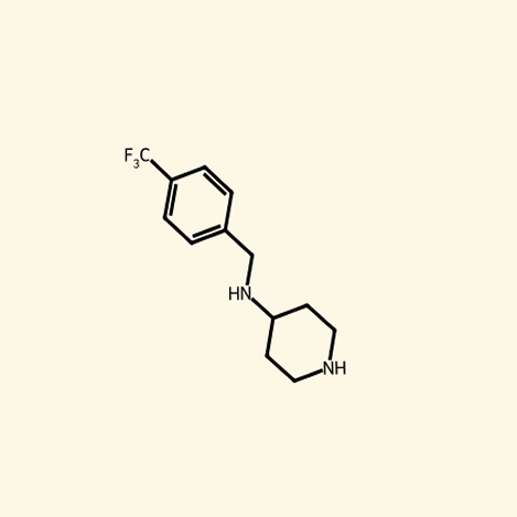 FC(F)(F)c1ccc(CNC2CCNCC2)cc1